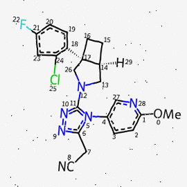 COc1ccc(-n2c(CC#N)nnc2N2C[C@@H]3CC[C@]3(c3ccc(F)cc3Cl)C2)cn1